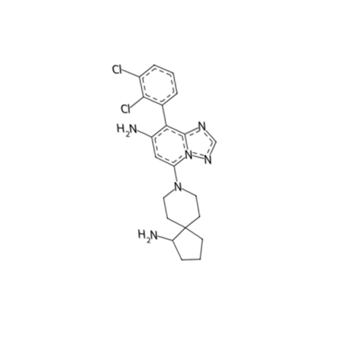 Nc1cc(N2CCC3(CCCC3N)CC2)n2ncnc2c1-c1cccc(Cl)c1Cl